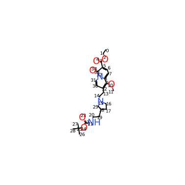 CCOC(=O)c1ccc2c(OC)c(CCN3CCC(CCNC(=O)OC(C)(C)C)C3)ccn2c1=O